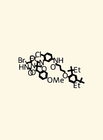 CCC1N(c2cc(NC(=O)CCCOc3ccc(C(C)(C)CC)cc3C(C)(C)CC)ccc2Cl)C(=O)C1(C(=O)c1ccc(OC)cc1)N1C(=O)N[C@@H](Br)C1=O